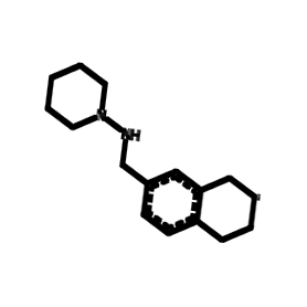 [C]1CCc2ccc(CNN3CCCCC3)cc2C1